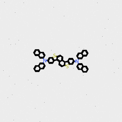 C1=CC2C=CC(N(c3ccc4ccccc4c3)c3ccc4c(c3)sc3ccc5c(c34)C=CC3Sc4cc(N(c6ccc7c(c6)C=CCC7)c6ccc7ccccc7c6)ccc4C53)=CC2C=C1